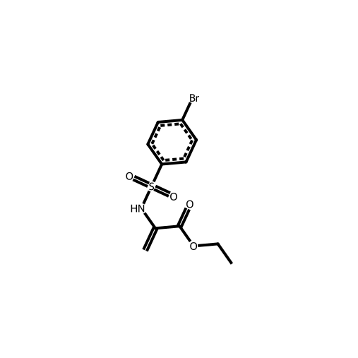 C=C(NS(=O)(=O)c1ccc(Br)cc1)C(=O)OCC